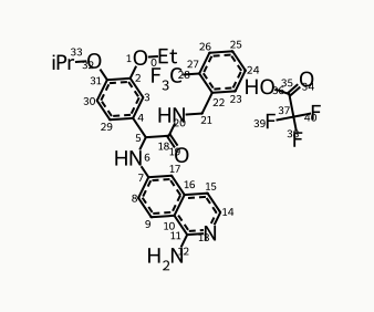 CCOc1cc(C(Nc2ccc3c(N)nccc3c2)C(=O)NCc2ccccc2C(F)(F)F)ccc1OC(C)C.O=C(O)C(F)(F)F